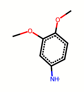 COc1ccc([NH])cc1OC